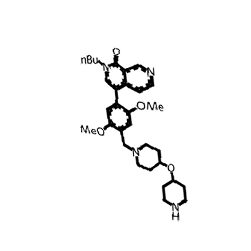 CCCCn1cc(-c2cc(OC)c(CN3CCC(OC4CCNCC4)CC3)cc2OC)c2ccncc2c1=O